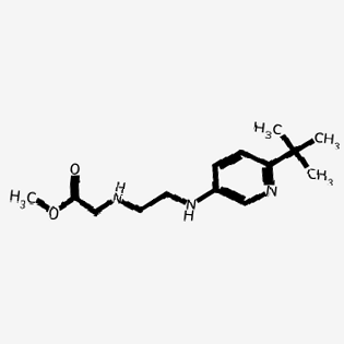 COC(=O)CNCCNc1ccc(C(C)(C)C)nc1